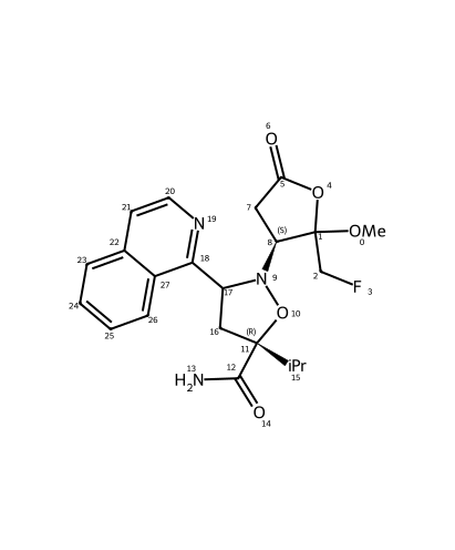 COC1(CF)OC(=O)C[C@@H]1N1O[C@@](C(N)=O)(C(C)C)CC1c1nccc2ccccc12